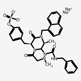 C[C@H]1C2N(C(=O)CN(C)N2C(=O)NCc2ccccc2)[C@@H](Cc2ccc(OP(=O)([O-])[O-])cc2)C(=O)N1Cc1cccc2ccccc12.[Na+].[Na+]